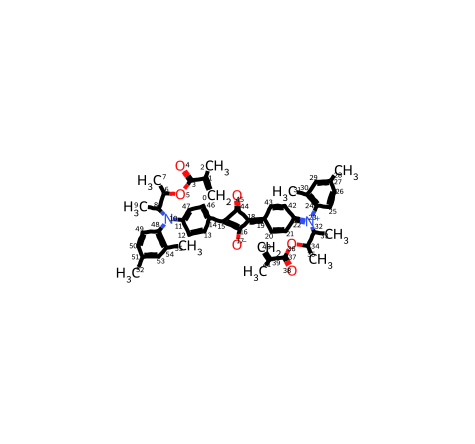 C=C(C)C(=O)OC(C)C(C)N(c1ccc(C2=C([O-])C(=C3C=CC(=[N+](c4ccc(C)cc4C)C(C)C(C)OC(=O)C(=C)C)C=C3)C2=O)cc1)c1ccc(C)cc1C